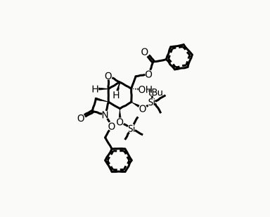 CC(C)(C)[Si](C)(C)O[C@H]1[C@@H](O[Si](C)(C)C)[C@@]2(CC(=O)N2OCc2ccccc2)[C@@H]2O[C@@H]2[C@@]1(O)COC(=O)c1ccccc1